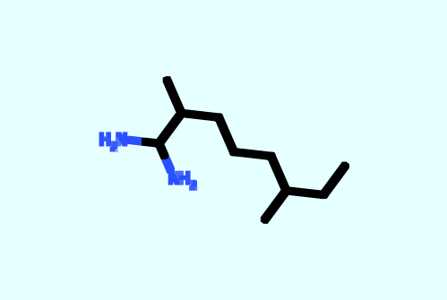 CCC(C)CCCC(C)C(N)N